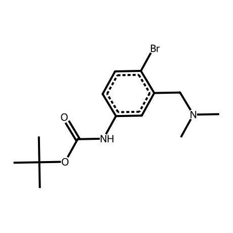 CN(C)Cc1cc(NC(=O)OC(C)(C)C)ccc1Br